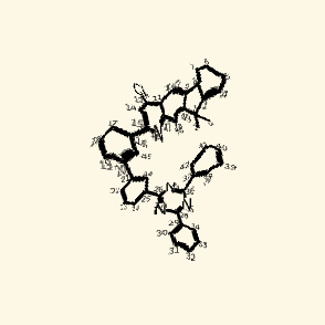 CC1(C)c2ccccc2-c2cc3c(Cl)cc(-c4cccc(-c5cccc(-c6nc(-c7ccccc7)nc(-c7ccccc7)n6)c5)c4)nc3cc21